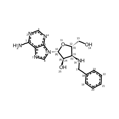 Nc1ncnc2c1ncn2[C@@H]1O[C@H](CO)[C@@H](NCc2ccccc2)[C@H]1O